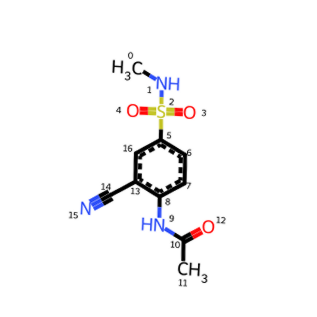 CNS(=O)(=O)c1ccc(NC(C)=O)c(C#N)c1